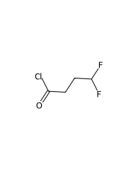 O=C(Cl)CCC(F)F